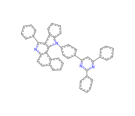 c1ccc(-c2cc(-c3ccc(-n4c5ccccc5c5c(-c6ccccc6)nc6ccc7ccccc7c6c54)cc3)nc(-c3ccccc3)n2)cc1